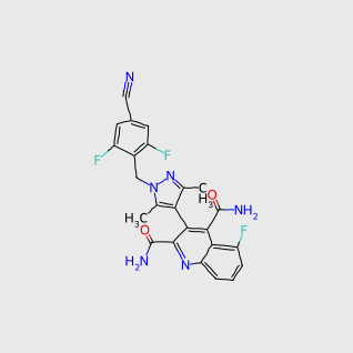 Cc1nn(Cc2c(F)cc(C#N)cc2F)c(C)c1-c1c(C(N)=O)nc2cccc(F)c2c1C(N)=O